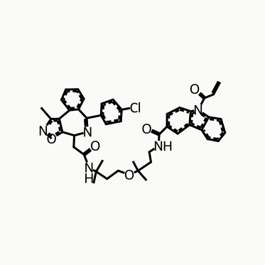 C=CC(=O)n1c2ccccc2c2cc(C(=O)NCCC(C)(C)OCCC(C)(C)NC(=O)CC3N=C(c4ccc(Cl)cc4)c4ccccc4-c4c(C)noc43)ccc21